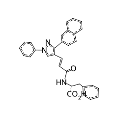 O=C(/C=C/c1cn(-c2ccccc2)nc1-c1ccc2ccccc2c1)N[C@H](Cc1ccccc1)C(=O)O